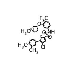 Cc1ccc(-c2sc(S(=O)(=O)Nc3ccc(C(F)(F)F)c(O[C@@H]4CCN(C)C4)c3)cc2Cl)cc1C